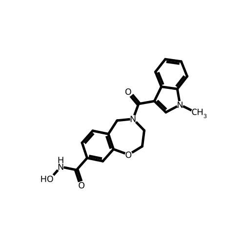 Cn1cc(C(=O)N2CCOc3cc(C(=O)NO)ccc3C2)c2ccccc21